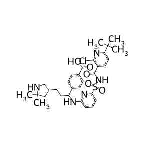 CC1(C)C[C@H](CCC(Nc2cccc(S(=O)(=O)NC(=O)c3ccc(C(C)(C)C)nc3Cl)n2)c2ccc(C(=O)O)cc2)CN1